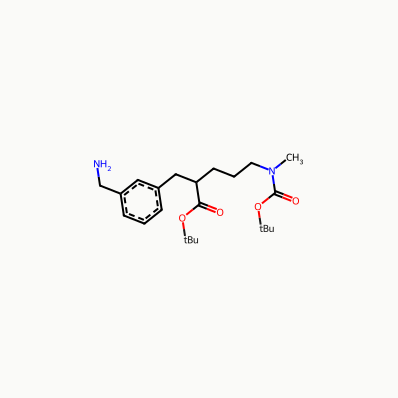 CN(CCCC(Cc1cccc(CN)c1)C(=O)OC(C)(C)C)C(=O)OC(C)(C)C